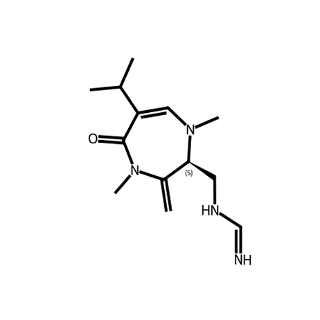 C=C1[C@H](CNC=N)N(C)C=C(C(C)C)C(=O)N1C